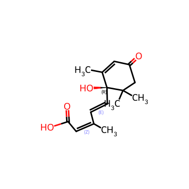 CC1=CC(=O)CC(C)(C)[C@]1(O)/C=C/C(C)=C\C(=O)O